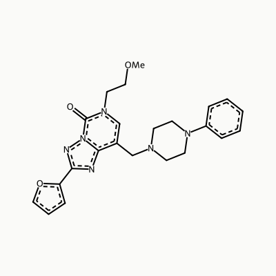 COCCn1cc(CN2CCN(c3ccccc3)CC2)c2nc(-c3ccco3)nn2c1=O